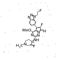 [2H]c1c(F)c(-c2ccc3nnn(CCF)c3c2)c2c(OC)nc(N[C@@H]3CCN(C)C[C@@H]3F)nn12